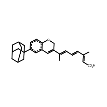 CC(C=CC=C(C)C1=Cc2cc(C34CC5CC(CC(C5)C3)C4)ccc2OC1)=CC(=O)O